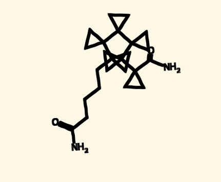 NC(=O)CCCCC1(C2(C3(C4(C5(C6(C(N)=O)CC6)CC5)CC4)CC3)CC2)CC1